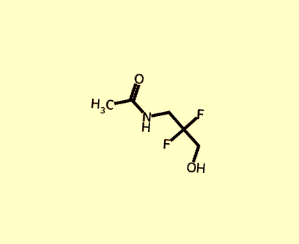 CC(=O)NCC(F)(F)CO